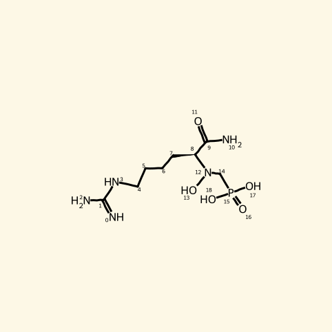 N=C(N)NCCCC[C@@H](C(N)=O)N(O)CP(=O)(O)O